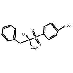 COc1ccc(S(=O)(=O)C(C)(Cc2ccccc2)C(=O)O)cc1